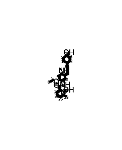 CCOC1=CC(=N)/C(=C\C#CC2CCC(O)CC2)C=C1NC(=O)c1cccc(C)[n+]1O